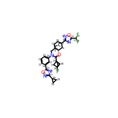 O=C(N(CC12CCC(c3noc(C(F)F)n3)(CC1)CC2)c1cccc(-c2nc(C3CC3)no2)c1)C12CC(F)(C1)C2